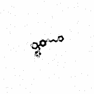 c1cc(C2(Cn3cnnc3)CCOCC2)ccc1OCCCN1CCCC1